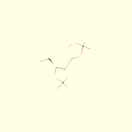 CC1(C)OC[C@@H]([C@@H]2OC(C)(C)O[C@H]2CO)O1